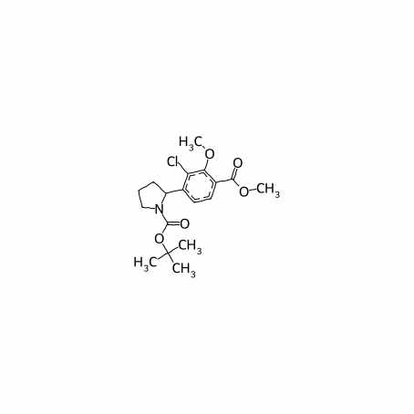 COC(=O)c1ccc(C2CCCN2C(=O)OC(C)(C)C)c(Cl)c1OC